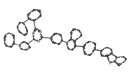 c1ccc(-c2cccc(-c3nc(-c4ccc(-c5ccc(-c6ccc(-c7ccc8c(c7)sc7ccccc78)cc6)c6ccccc56)cc4)nc(-c4ccccc4-c4ccccc4)n3)c2)cc1